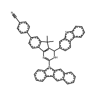 CC1(C)C2=C(N=C(n3c4ccccc4c4cc5ccccc5cc43)NC2c2ccc3c(c2)sc2ccccc23)c2ccc(-c3ccc(C#N)cc3)cc21